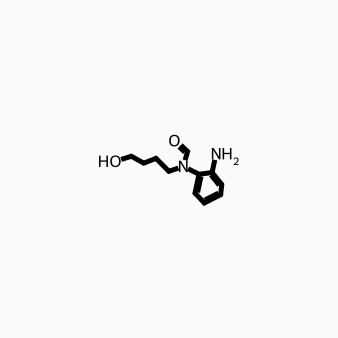 Nc1ccccc1N(C=O)CCCCO